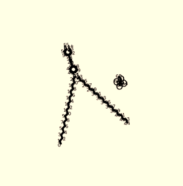 CCCCCCCCCCCCCCCCCCCCCCN(CCCCCCCCCCCCCCCCCCCCCC)c1ccc(C#Cc2cc[n+](C)cc2)cc1.COS(=O)(=O)[O-]